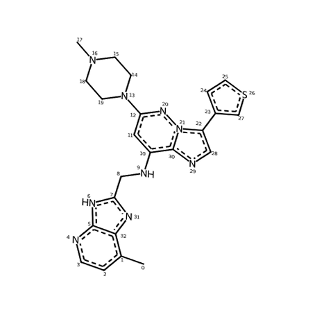 Cc1ccnc2[nH]c(CNc3cc(N4CCN(C)CC4)nn4c(-c5ccsc5)cnc34)nc12